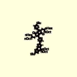 CCCCCCCCC(CCCCCC)CN1C(=O)C2=C(c3ncc(C(C)(C)C)s3)N(CC(CCCCCC)CCCCCCCC)C(=O)C2=C1c1ncc(-c2cc3c(s2)-c2sc(C(C)(C)C)cc2C3(CCCCCCCC)CCCCCCCC)s1